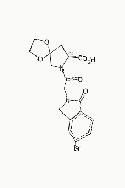 O=C(O)[C@@H]1CC2(CN1C(=O)CN1Cc3cc(Br)ccc3C1=O)OCCO2